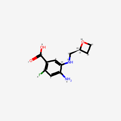 Nc1cc(F)c(C(=O)O)cc1NC[C@@H]1CCO1